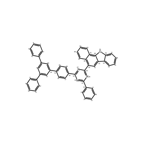 c1ccc(-c2cc(-c3ccccc3)cc(-c3ccc(-c4nc(-c5ccccc5)nc(-c5cc6c7ccccc7oc6c6ccccc56)n4)cc3)c2)cc1